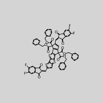 O=C1C(=CC2=CC3=C(c4sc5c(sc6cc(C=C7C(=O)c8cc(F)c(F)cc8C7=O)sc65)c4C3(C(=O)OCc3ccccc3)C(=O)OCc3ccccc3)C2(C(=O)OCc2ccccc2)C(=O)OCc2ccccc2)C(=O)c2cc(F)c(F)cc21